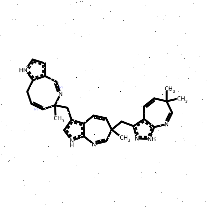 CC1(C)C=Cc2c(CC3(C)C=Cc4c(CC5(C)/C=C\Cc6[nH]ccc6/C=N\5)c[nH]c4N=C3)n[nH]c2N=C1